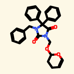 O=C1N(COC2CCC=CO2)C(=O)C(c2ccccc2)(c2ccccc2)N1Cc1ccccc1